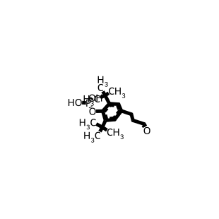 CC(C)(C)c1cc(CCC=O)cc(C(C)(C)C)c1OP(O)O